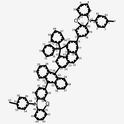 Cc1ccc(N2c3ccccc3Oc3cc(-c4cc5c6c(ccc7cc(-c8c9ccccc9c(-c9ccc%10c(c9)Oc9ccccc9N%10c9ccc(C)cc9)c9ccccc89)cc(c76)C5(c5ccccc5)c5ccccc5)c4)ccc32)cc1